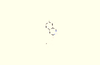 O=S(=O)(Oc1cc2ccc(F)c(Cl)c2cn1)C(F)(F)F